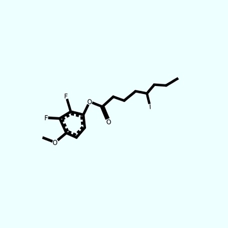 CCCC(I)CCCC(=O)Oc1ccc(OC)c(F)c1F